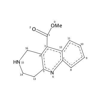 COC(=O)c1c2c(nc3ccccc13)CCNC2